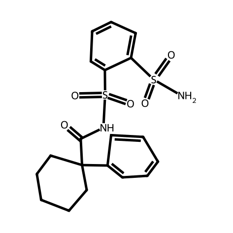 NS(=O)(=O)c1ccccc1S(=O)(=O)NC(=O)C1(c2ccccc2)CCCCC1